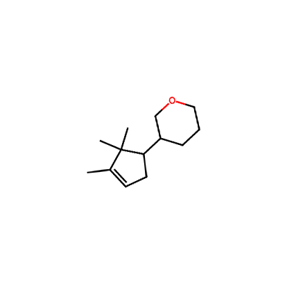 CC1=CCC(C2CCCOC2)C1(C)C